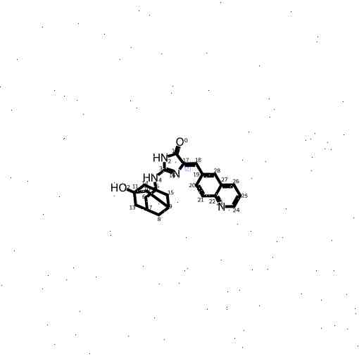 O=C1NC(NC23CC4CC(CC(O)(C4)C2)C3)=N/C1=C\c1ccc2ncccc2c1